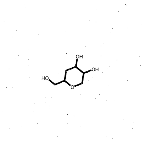 OCC1CC(O)C(O)CO1